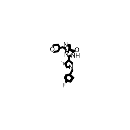 C[C@H]1CN(Cc2ccc(F)cc2)CC1c1nn2c(C3CCOCC3)ncc2c(=O)[nH]1